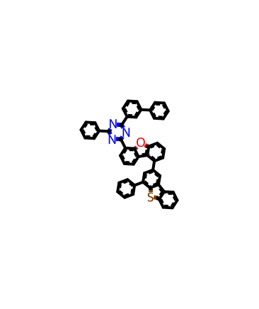 c1ccc(-c2cccc(-c3nc(-c4ccccc4)nc(-c4cccc5c4oc4cccc(-c6cc(-c7ccccc7)c7sc8ccccc8c7c6)c45)n3)c2)cc1